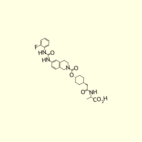 CC(NC(=O)C[C@H]1CC[C@H](OC(=O)N2CCc3cc(NC(=O)Nc4ccccc4F)ccc3C2)CC1)C(=O)O